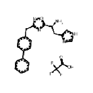 N[C@@H](Cc1c[nH]cn1)c1nc(Cc2ccc(-c3ccccc3)cc2)no1.O=C(O)C(F)(F)F